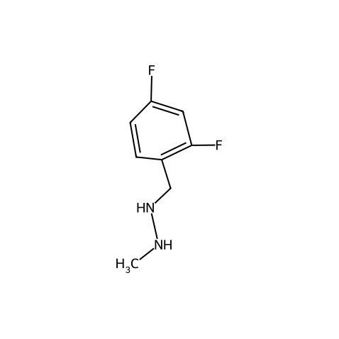 CNNCc1ccc(F)cc1F